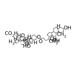 C[C@H](CCC(=O)O[C@@H]1CC[C@@]2(C)[C@@H](C1)C[C@@H](O)[C@@H]1[C@@H]2C[C@H](O)[C@]2(C)[C@@H]([C@H](C)CCC(=O)O)CC[C@@H]12)[C@H]1CCC2C3CC[C@@H]4C[C@H](O)CC[C@]4(C)C3C[C@H](O)[C@@]21C